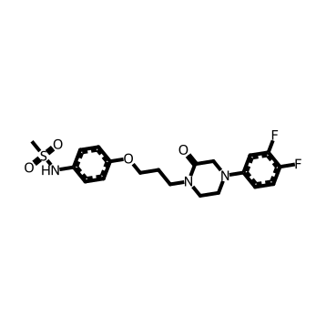 CS(=O)(=O)Nc1ccc(OCCCN2CCN(c3ccc(F)c(F)c3)CC2=O)cc1